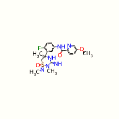 CN=S1(=O)C[C@@](C)(c2cc(NC(=O)c3ccc(OC)cn3)ccc2F)NC(=N)N1C